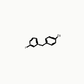 CCc1ccc([CH]c2cccc(F)c2)cc1